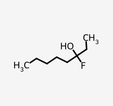 CCCCCC(O)(F)CC